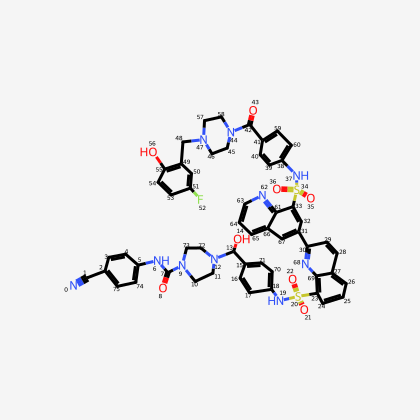 N#Cc1ccc(NC(=O)N2CCN(C(O)c3ccc(NS(=O)(=O)c4cccc5ccc(-c6cc(S(=O)(=O)Nc7ccc(C(=O)N8CCN(Cc9cc(F)ccc9O)CC8)cc7)c7ncccc7c6)nc45)cc3)CC2)cc1